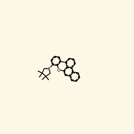 CC1(C)CB(c2cccc3c2Oc2cc4ccccc4c4cccc-3c24)CC1(C)C